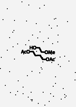 CC(=O)OCCCCOC(C)=O.COCCO